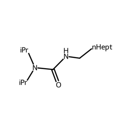 CCCCCCCCNC(=O)N(C(C)C)C(C)C